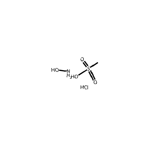 CS(=O)(=O)O.Cl.NO